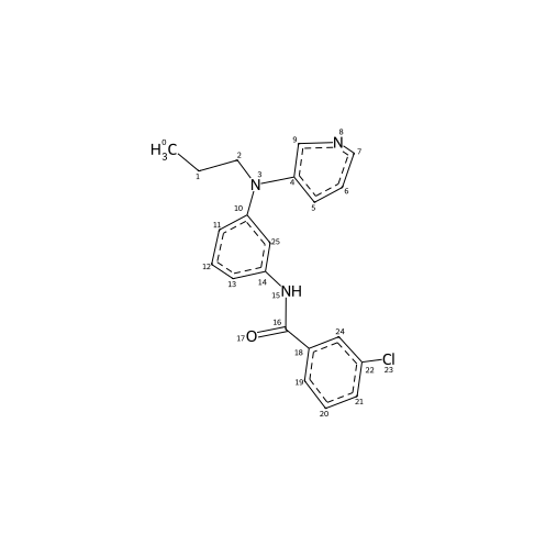 CCCN(c1cccnc1)c1cccc(NC(=O)c2cccc(Cl)c2)c1